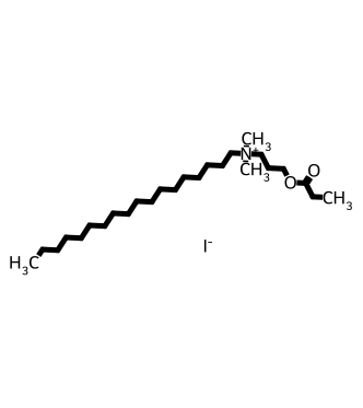 CCCCCCCCCCCCCCCCCC[N+](C)(C)CCCOC(=O)CC.[I-]